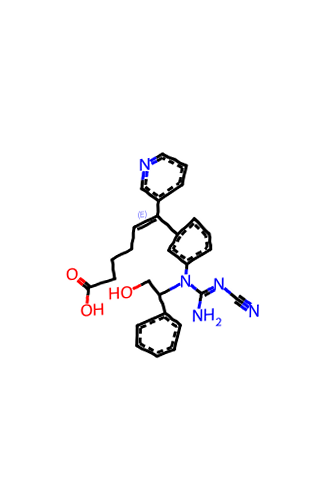 N#CN=C(N)N(c1cccc(/C(=C\CCCC(=O)O)c2cccnc2)c1)C(CO)c1ccccc1